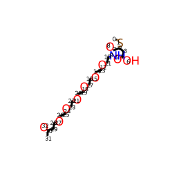 CSC(CC(=O)O)C(=O)NCCOCCOCCOCCOCCOCCOCCC(C)=O